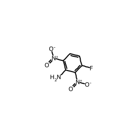 Nc1c([N+](=O)[O-])ccc(F)c1[N+](=O)[O-]